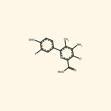 COC(=O)c1nc(-c2ccc(C=O)c(F)c2)c(C)c(N)c1Cl